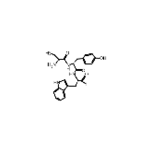 N[C@@H](CS)C(=O)N[C@@H](Cc1ccc(O)cc1)C(=O)N[C@H](Cc1c[nH]c2ccccc12)C(=O)I